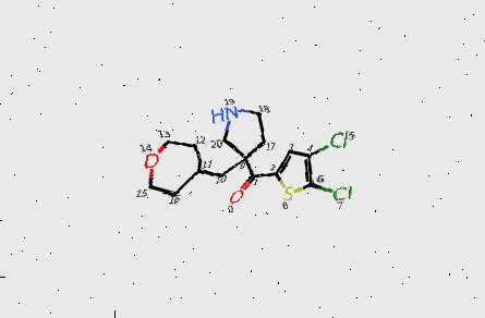 O=C(c1cc(Cl)c(Cl)s1)C1(CC2CCOCC2)CCNC1